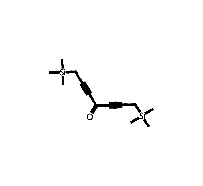 C[Si](C)(C)CC#CC(=O)C#CC[Si](C)(C)C